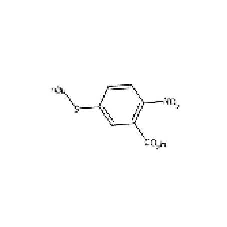 CCCCSc1ccc([N+](=O)[O-])c(C(=O)O)c1